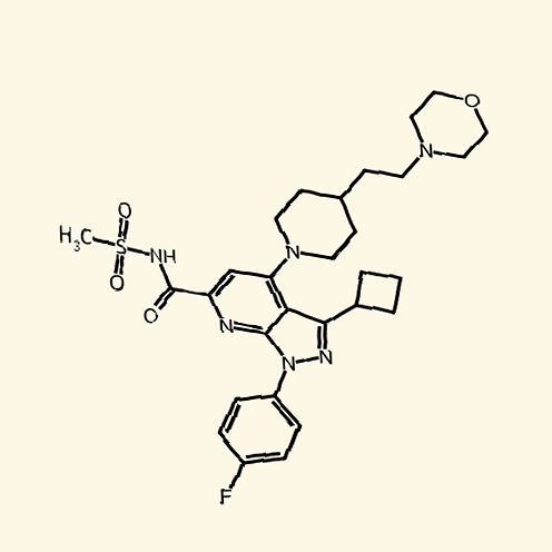 CS(=O)(=O)NC(=O)c1cc(N2CCC(CCN3CCOCC3)CC2)c2c(C3CCC3)nn(-c3ccc(F)cc3)c2n1